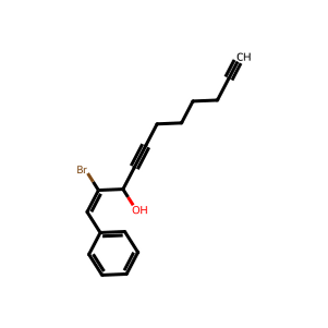 C#CCCCCC#CC(O)/C(Br)=C\c1ccccc1